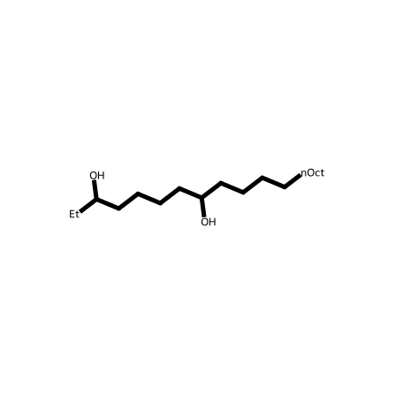 CCCCCCCCCCCCC(O)CCCCC(O)CC